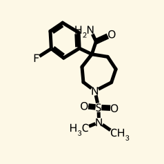 CN(C)S(=O)(=O)N1CCCC(C(N)=O)(c2cccc(F)c2)CC1